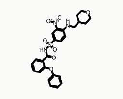 O=C(NS(=O)(=O)c1ccc(NCC2CCOCC2)c([N+](=O)[O-])c1)c1ccccc1Oc1ccccc1